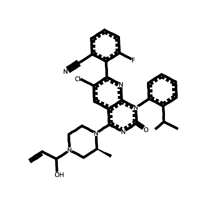 C=CC(O)N1CCN(c2nc(=O)n(-c3ccccc3C(C)C)c3nc(-c4c(F)cccc4C#N)c(Cl)cc23)[C@@H](C)C1